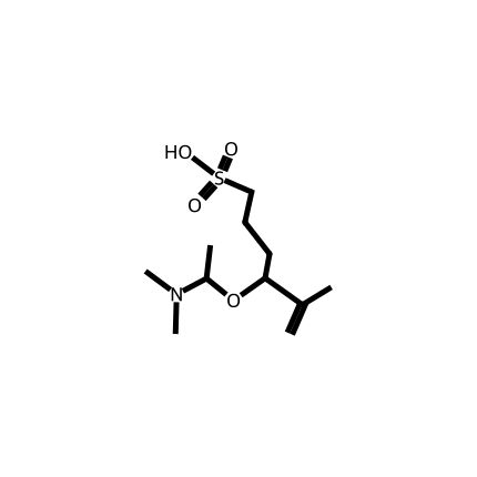 C=C(C)C(CCCS(=O)(=O)O)OC(C)N(C)C